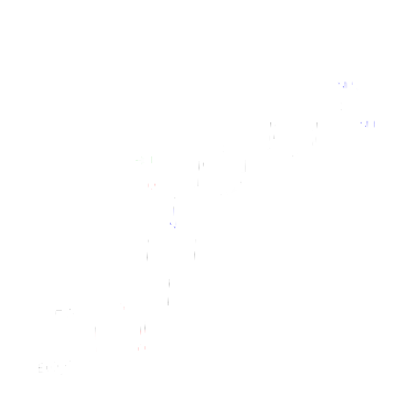 CCOC(=O)OC(C)OC(=O)CC1CCN(C(=O)c2ccc(-c3ccc(C(=N)N)cc3)cc2)CC1.Cl